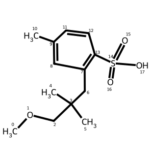 COCC(C)(C)Cc1cc(C)ccc1S(=O)(=O)O